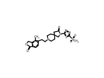 Cc1c(CCN2CCC3(CC2)CC(=O)N(c2nnc(S(C)(=O)=O)s2)C3)ccc2c1COC2=O